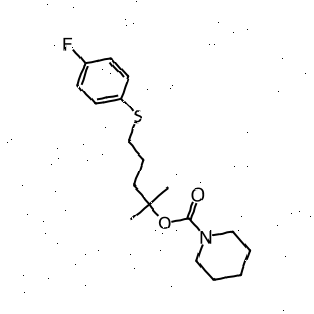 CC(C)(CCCSc1ccc(F)cc1)OC(=O)N1CCCCC1